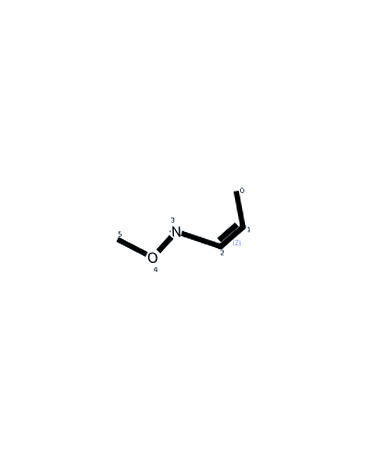 C/C=C\[N]OC